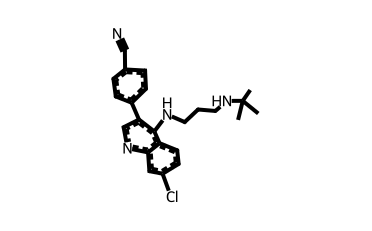 CC(C)(C)NCCCNc1c(-c2ccc(C#N)cc2)cnc2cc(Cl)ccc12